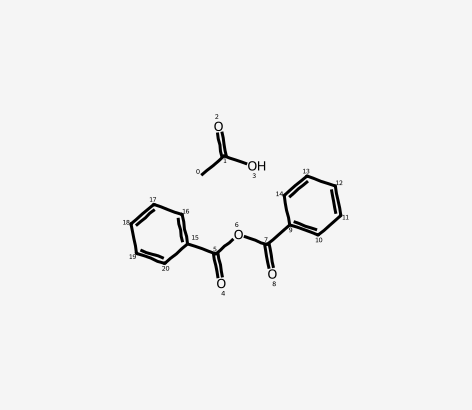 CC(=O)O.O=C(OC(=O)c1ccccc1)c1ccccc1